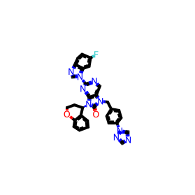 O=c1n(Cc2ccc(-n3cncn3)cc2)c2cnc(-n3cnc4ccc(F)cc43)nc2n1[C@@H]1CCOc2ccccc21